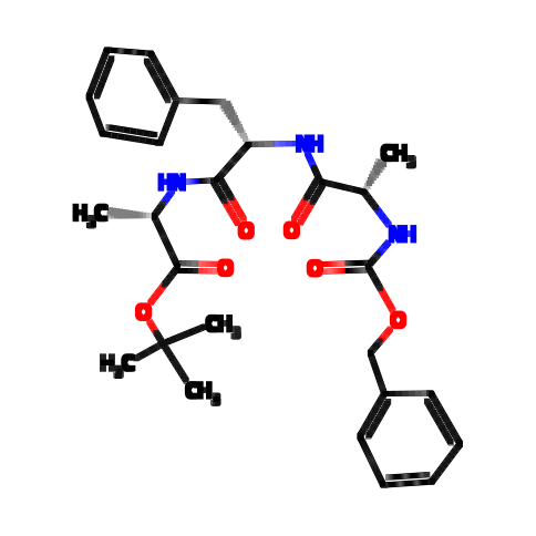 C[C@H](NC(=O)OCc1ccccc1)C(=O)N[C@@H](Cc1ccccc1)C(=O)N[C@@H](C)C(=O)OC(C)(C)C